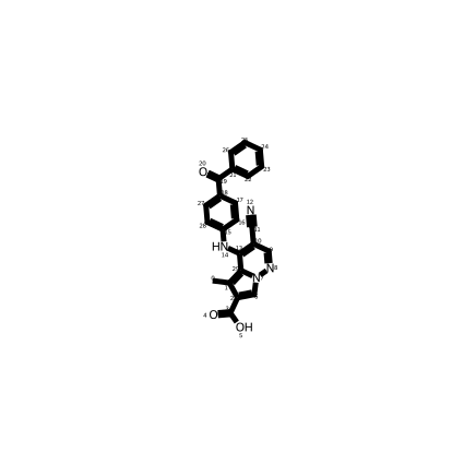 Cc1c(C(=O)O)cn2ncc(C#N)c(Nc3ccc(C(=O)c4ccccc4)cc3)c12